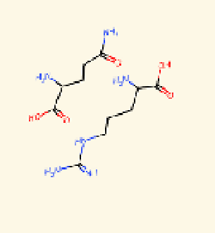 N=C(N)NCCCC(N)C(=O)O.NC(=O)CCC(N)C(=O)O